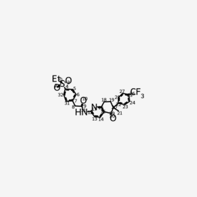 CCS(=O)(=O)c1ccc(CC(=O)Nc2ccc3c(n2)CCC(C)(c2ccc(C(F)(F)F)cc2)C3=O)cc1